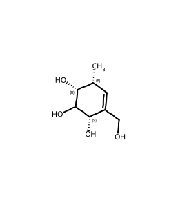 C[C@@H]1C=C(CO)[C@H](O)C(O)[C@@H]1O